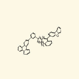 N=C(/N=c1/nc(-c2ccc3c(c2)oc2ccccc23)c2ccccc2[nH]1)c1cccc(-c2ccc3c4ccccc4c4ccccc4c3c2)c1